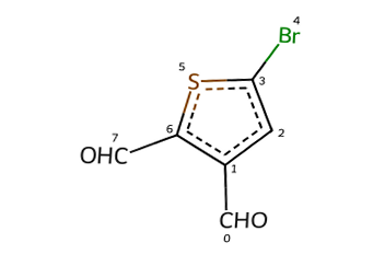 O=Cc1cc(Br)sc1C=O